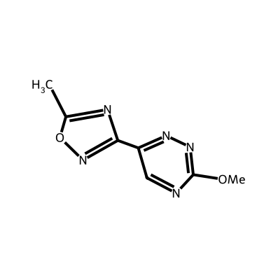 COc1ncc(-c2noc(C)n2)nn1